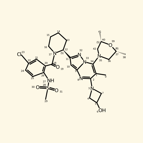 Cc1c(N2CC(O)C2)nc2cc([C@@H]3CCCCN3C(=O)c3cc(Cl)ccc3NS(C)(=O)=O)nn2c1N1C[C@@H](C)O[C@@H](C)C1